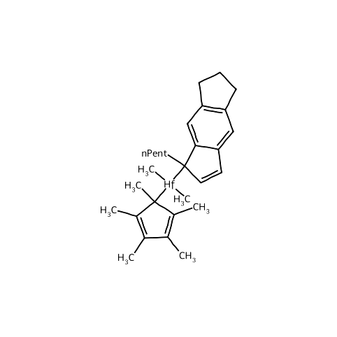 CCCCC[C]1([Hf]([CH3])([CH3])[C]2(C)C(C)=C(C)C(C)=C2C)C=Cc2cc3c(cc21)CCC3